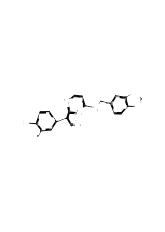 Fc1ccc(-c2cnn3c(NCc4ccc5c(c4)OCO5)ccnc23)cc1Cl